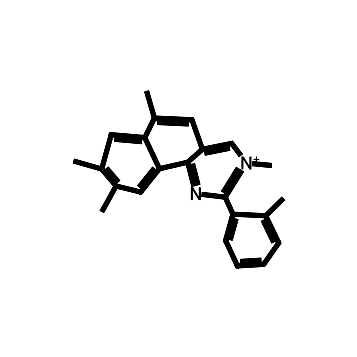 Cc1cc2c(C)cc3c[n+](C)c(-c4ccccc4C)nc3c2cc1C